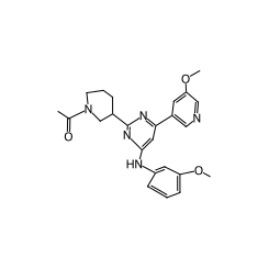 COc1cccc(Nc2cc(-c3cncc(OC)c3)nc(C3CCCN(C(C)=O)C3)n2)c1